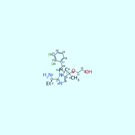 CC[C@@H](N)c1ncc(C(C)(C)OCCO)n1CCc1cccc(F)c1F